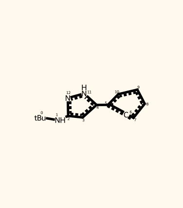 CC(C)(C)Nc1cc(-c2ccccc2)[nH]n1